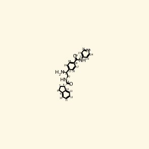 N[C@H](CNC(=O)[C@H]1CCc2ccccc21)c1ccc(C(=O)Nc2ccncc2)cc1